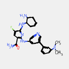 CN(C)c1cccc(-c2cncc(Nc3nc(NC4CCCCC4N)c(F)cc3C(N)=O)c2)c1